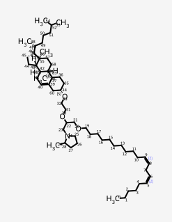 CCCCC/C=C\C/C=C\CCCCCCCCCCOCC(CN1CCCC1C)OCCO[C@H]1CC[C@@]2(C)C(=CC[C@H]3[C@@H]4CC[C@H]([C@H](C)CCCC(C)C)[C@@]4(C)CC[C@@H]32)C1